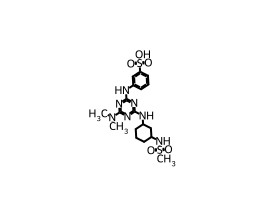 CN(C)c1nc(Nc2cccc(S(=O)(=O)O)c2)nc(NC2CCCC(NS(C)(=O)=O)C2)n1